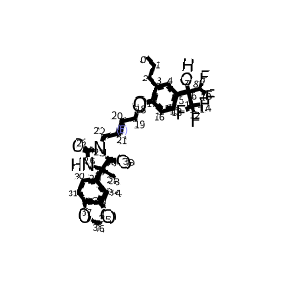 CCCc1cc(C(O)(C(F)F)C(F)(F)F)ccc1OC/C=C/CN1C(=O)NC(C)(c2ccc3c(c2)OCO3)C1=O